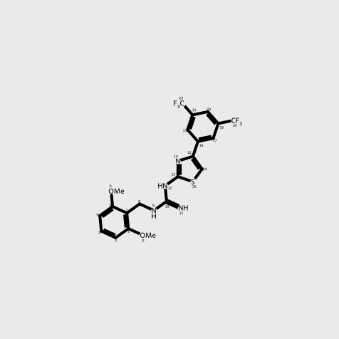 COc1cccc(OC)c1CNC(=N)Nc1nc(-c2cc(C(F)(F)F)cc(C(F)(F)F)c2)cs1